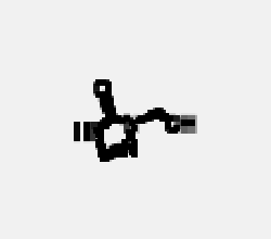 O=c1[nH]cnn1CO